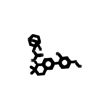 CC(C)Oc1ccc(-c2ccc3c(c2)CCC(C)(C)[C@H]3NC(=O)O[C@@H]2CN3CCC2CC3)c(Cl)c1